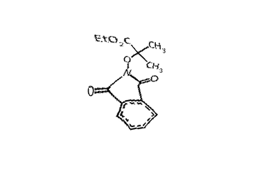 CCOC(=O)C(C)(C)ON1C(=O)c2ccccc2C1=O